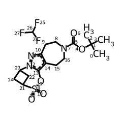 CC(C)(C)OC(=O)N1CCc2nn3c(c2CC1)OS(=O)(=O)C1CC3C1.FC(F)F